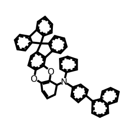 C1=CC2=C(Oc3c(ccc4c3-c3ccccc3C43c4ccccc4-c4ccccc43)O2)C(N(c2ccccc2)c2ccc(-c3cccc4ccccc34)cc2)C1